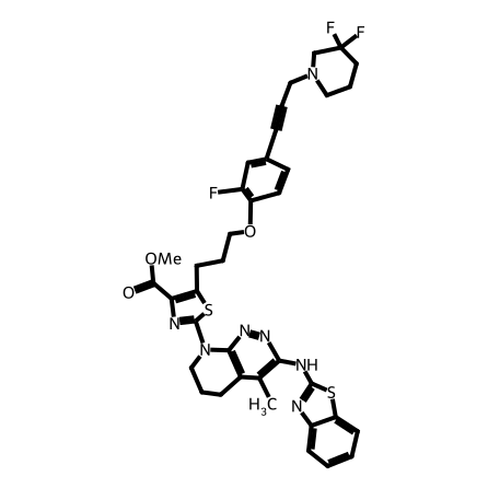 COC(=O)c1nc(N2CCCc3c2nnc(Nc2nc4ccccc4s2)c3C)sc1CCCOc1ccc(C#CCN2CCCC(F)(F)C2)cc1F